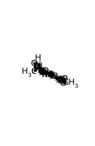 CCC1CC(=O)NN=C1c1ccc2nc(-c3ccc(OCC4CCN(S(C)(=O)=O)CC4)cc3)oc2c1